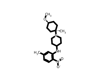 CO[C@H]1CC[C@@](C)(N2CCC(Nc3cc(C)ccc3[N+](=O)[O-])CC2)CC1